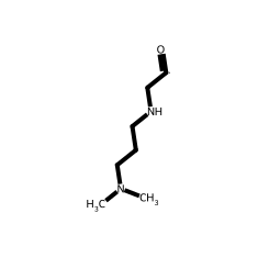 CN(C)CCCNC[C]=O